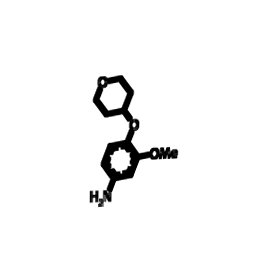 COc1cc(N)ccc1OC1CCOCC1